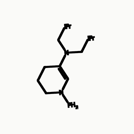 CC(C)CN(CC(C)C)C1=CN(P)CCC1